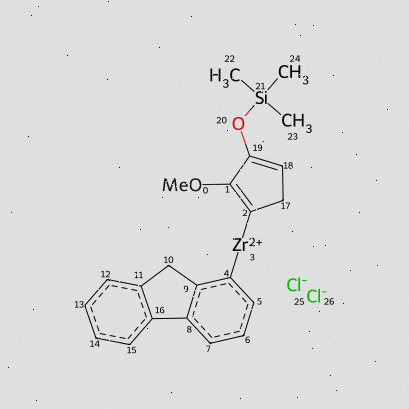 COC1=[C]([Zr+2][c]2cccc3c2Cc2ccccc2-3)CC=C1O[Si](C)(C)C.[Cl-].[Cl-]